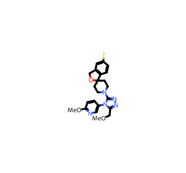 COCc1nnc(N2CCC3(CC2)OCc2cc(F)ccc23)n1-c1ccc(OC)nc1